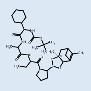 CCC(NC(=O)C(C)NC(=O)C(NC(=O)OC(C)(C)C)C1CCCCC1)C(=O)N1CCCC1B1OC2C3=C(C)C(C3)C[C@]2(C)O1